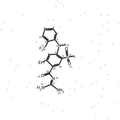 CCc1cc(N(C)c2ccccc2C(F)(F)F)c(S(C)(=O)=O)cc1C(=O)N=C(N)N